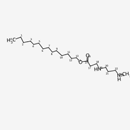 CCCCCCCCCCCCCCOC(=O)CCNCCCNC